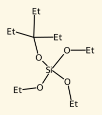 CCO[Si](OCC)(OCC)OC(CC)(CC)CC